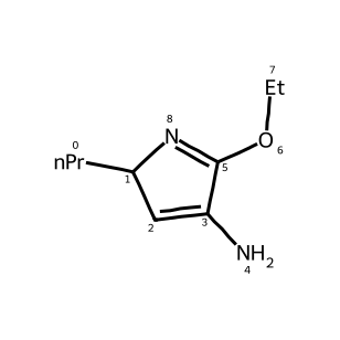 CCCC1C=C(N)C(OCC)=N1